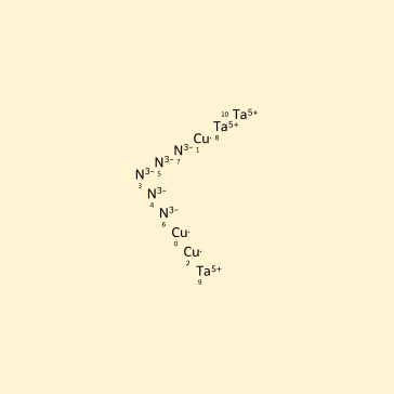 [Cu].[Cu].[Cu].[N-3].[N-3].[N-3].[N-3].[N-3].[Ta+5].[Ta+5].[Ta+5]